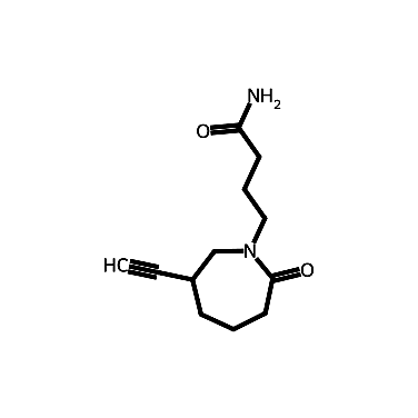 C#CC1CCCC(=O)N(CCCC(N)=O)C1